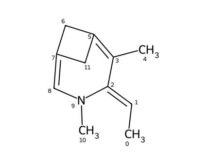 C/C=C1/C(C)=C2CC(=CN1C)C2